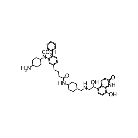 NC1CCC(N(C(=O)O)c2cc(CCCC(=O)NC3CCC(CNC[C@@H](O)c4ccc(O)c5[nH]c(=O)ccc45)CC3)ccc2-c2ccccc2)CC1